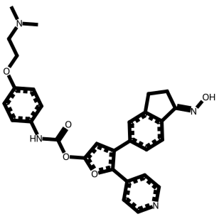 CN(C)CCOc1ccc(NC(=O)Oc2cc(-c3ccc4c(c3)CCC4=NO)c(-c3ccncc3)o2)cc1